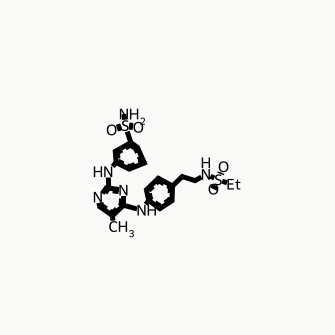 CCS(=O)(=O)NCCc1ccc(Nc2nc(Nc3cccc(S(N)(=O)=O)c3)ncc2C)cc1